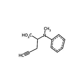 C#CCC(C(=O)O)N(C)c1ccccc1